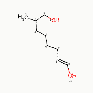 CC(CO)CCCCC=CO